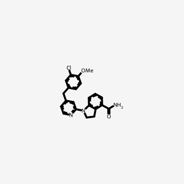 COc1ccc(Cc2ccnc(N3CCc4c(C(N)=O)cccc43)c2)cc1Cl